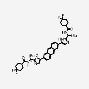 CC(C)(C)C(NC(=O)C1CCC(F)(F)CC1)c1ncc(-c2ccc3cc4cc(-c5cnc([C@@H](NC(=O)C6CCC(F)(F)CC6)C(C)(C)C)[nH]5)ccc4cc3c2)[nH]1